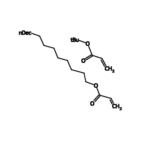 C=CC(=O)OC(C)(C)C.C=CC(=O)OCCCCCCCCCCCCCCCCCC